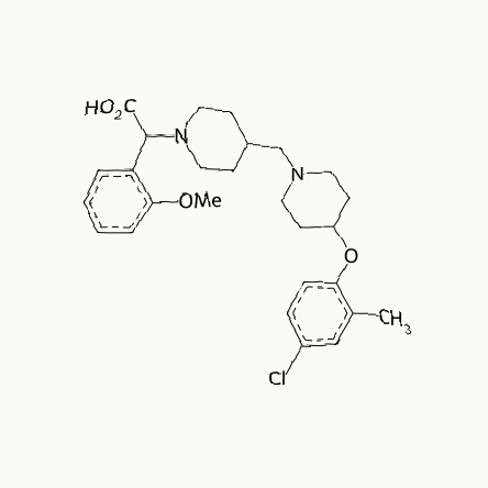 COc1ccccc1C(C(=O)O)N1CCC(CN2CCC(Oc3ccc(Cl)cc3C)CC2)CC1